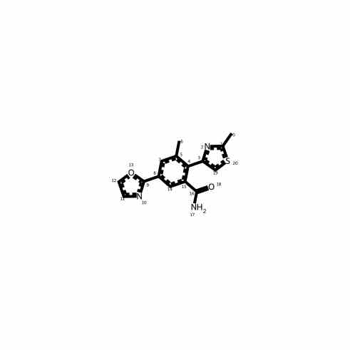 Cc1nc(-c2c(C)cc(-c3ncco3)cc2C(N)=O)cs1